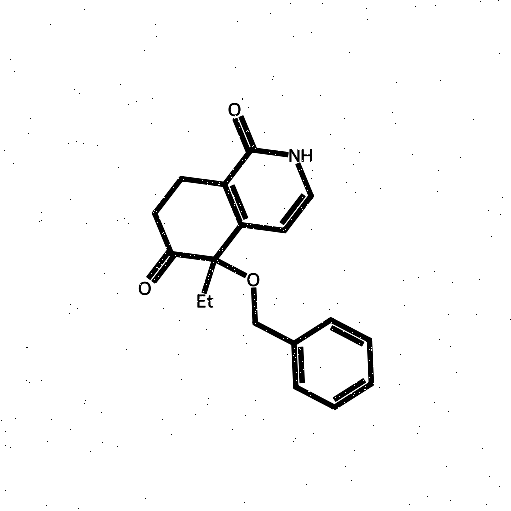 CCC1(OCc2ccccc2)C(=O)CCc2c1cc[nH]c2=O